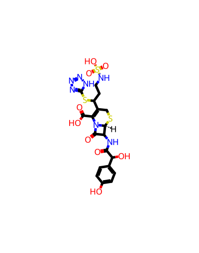 O=C(O)C1=C(C(CCNS(=O)(=O)O)Sc2nnn[nH]2)CS[C@H]2C(NC(=O)C(O)c3ccc(O)cc3)C(=O)N12